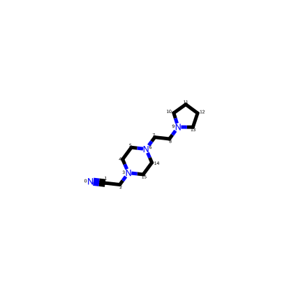 N#CCN1CCN(CCN2CCCC2)CC1